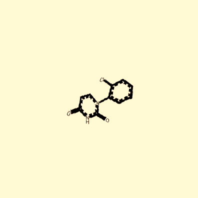 O=c1ccn(-c2ccccc2Cl)c(=O)[nH]1